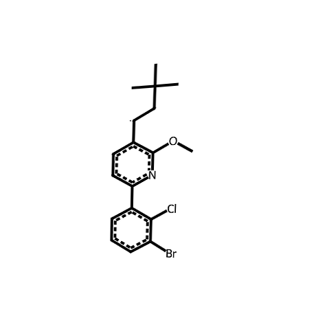 COc1nc(-c2cccc(Br)c2Cl)ccc1[CH]CC(C)(C)C